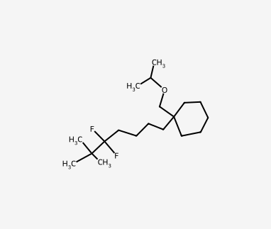 CC(C)OCC1(CCCCC(F)(F)C(C)(C)C)CCCCC1